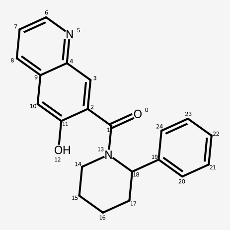 O=C(c1cc2ncccc2cc1O)N1CCCCC1c1ccccc1